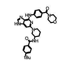 CC(C)(C)c1ccc(C(=O)NC2CCCN(c3cc4[nH]cnc4c(Nc4ccc(C(=O)N5CCOCC5)cc4)n3)C2)cc1